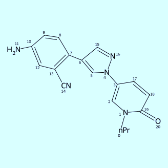 CCCn1cc(-n2cc(-c3ccc(N)cc3C#N)cn2)ccc1=O